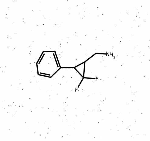 NCC1C(c2ccccc2)C1(F)F